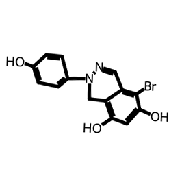 Oc1ccc(N2Cc3c(O)cc(O)c(Br)c3C=N2)cc1